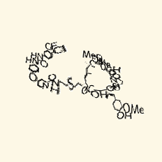 CO[C@H]1C[C@@H](C)C/C(C)=C/[C@@H](CCCSCCNC(=O)c2cc(Oc3ccc(NC(=O)Nc4ccc(Cl)c(C(F)(F)F)c4)cc3)ccn2)C(=O)C[C@H](O)[C@@H](C)[C@@H](/C(C)=C/[C@@H]2CC[C@@H](O)[C@H](OC)C2)OC(=O)[C@@H]2CCCCN2C(=O)C(=O)[C@]2(O)O[C@H]1[C@@H](OC)C[C@H]2C